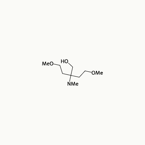 CNC(CO)(CCOC)CCOC